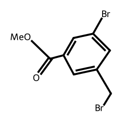 COC(=O)c1cc(Br)cc(CBr)c1